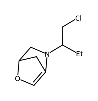 CCC(CCl)N1CC2CC1=CO2